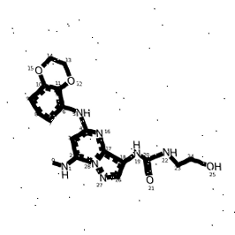 CNc1cc(Nc2cccc3c2OCCO3)nc2c(NC(=O)NCCO)cnn12